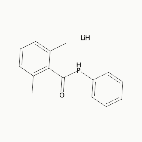 Cc1cccc(C)c1C(=O)Pc1ccccc1.[LiH]